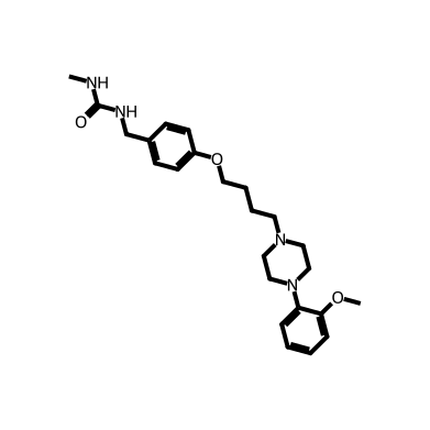 CNC(=O)NCc1ccc(OCCCCN2CCN(c3ccccc3OC)CC2)cc1